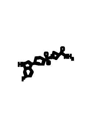 NC(=O)C1CN(S(=O)(=O)c2ccc(-c3c[nH]c4cc(F)ccc34)cc2)C1